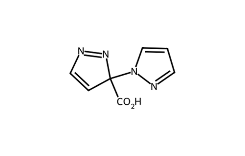 O=C(O)C1(n2cccn2)C=CN=N1